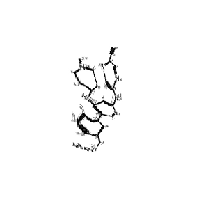 C#Cc1cnc(Nc2cc(NC3CCN(C)CC3)c(-c3cccc(COC)c3)cn2)cn1